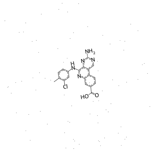 Cc1ccc(Nc2nc3cc(C(=O)O)ccc3c3cnc(N)nc23)cc1Cl